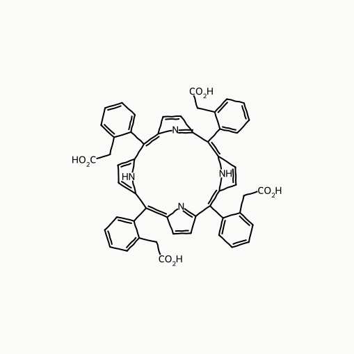 O=C(O)Cc1ccccc1-c1c2nc(c(-c3ccccc3CC(=O)O)c3ccc([nH]3)c(-c3ccccc3CC(=O)O)c3nc(c(-c4ccccc4CC(=O)O)c4ccc1[nH]4)C=C3)C=C2